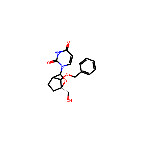 O=c1ccn(C2O[C@@]3(CO)CCC2C3OCc2ccccc2)c(=O)[nH]1